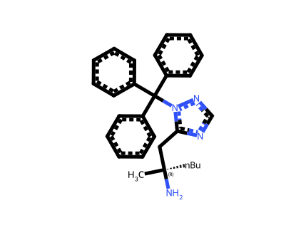 CCCC[C@@](C)(N)Cc1ncnn1C(c1ccccc1)(c1ccccc1)c1ccccc1